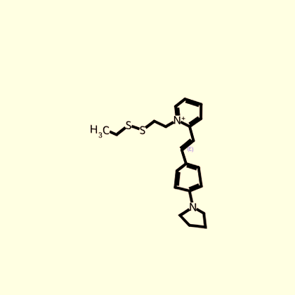 CCSSCC[n+]1ccccc1/C=C/c1ccc(N2CCCC2)cc1